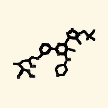 Cc1c(NC2CCOCC2)nc(-c2cccc(OCC(O)CN(C)C(=O)OC(C)(C)C)c2)nc1-c1nnn(C[Si](C)(C)C)c1C